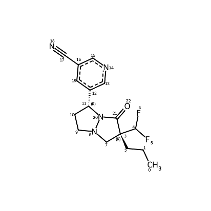 CCC[C@@]1(C(F)F)CN2CC[C@H](c3cncc(C#N)c3)N2C1=O